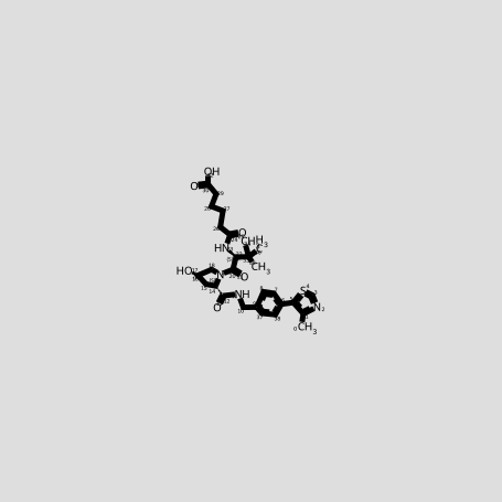 Cc1ncsc1-c1ccc(CNC(=O)[C@@H]2C[C@@H](O)CN2C(=O)[C@@H](NC(=O)CCCCC(=O)O)C(C)(C)C)cc1